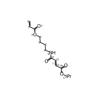 C=CC(=O)OCCCCNC(=O)/C=C/C(=O)OC(C)C